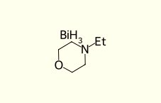 CCN1CCOCC1.[BiH3]